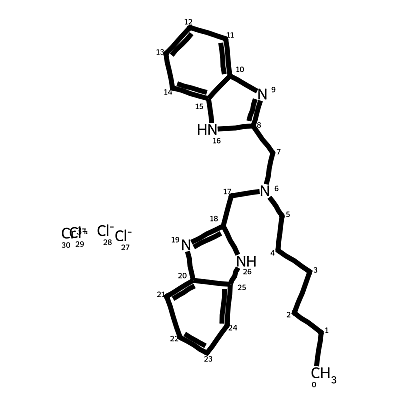 CCCCCCN(Cc1nc2ccccc2[nH]1)Cc1nc2ccccc2[nH]1.[Cl-].[Cl-].[Cl-].[Cr+3]